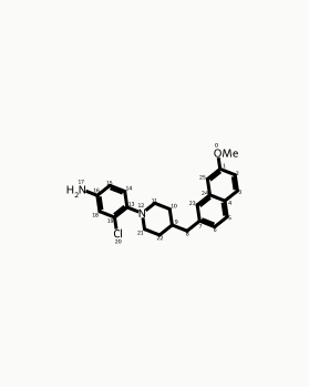 COc1ccc2ccc(CC3CCN(c4ccc(N)cc4Cl)CC3)cc2c1